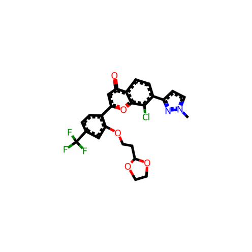 Cn1ccc(-c2ccc3c(=O)cc(-c4ccc(C(F)(F)F)cc4OCCC4OCCO4)oc3c2Cl)n1